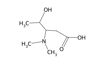 CC(O)C(CC(=O)O)N(C)C